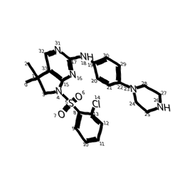 CC1(C)CN(S(=O)(=O)c2ccccc2Cl)c2nc(Nc3ccc(N4CCNCC4)cc3)ncc21